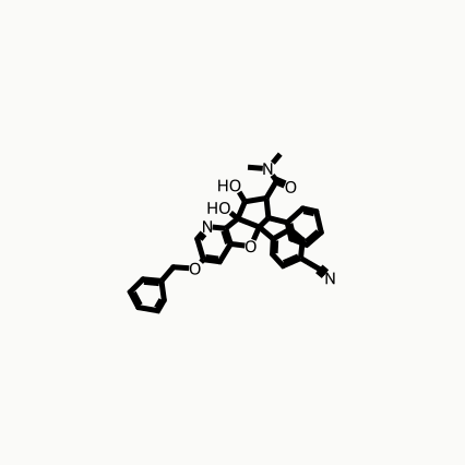 CN(C)C(=O)C1C(O)C2(O)c3ncc(OCc4ccccc4)cc3OC2(c2ccc(C#N)cc2)C1c1ccccc1